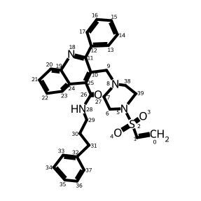 C=CS(=O)(=O)N1CCN(Cc2c(-c3ccccc3)nc3ccccc3c2C(=O)NCCCc2ccccc2)CC1